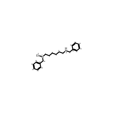 CCN(CCCCCCNCc1ccccc1)Cc1ccccc1